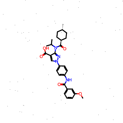 COc1cccc(C(=O)Nc2ccc(-n3cc(C(=O)O)c(N(C(=O)[C@H]4CC[C@H](C)CC4)C(C)C)n3)cc2)c1